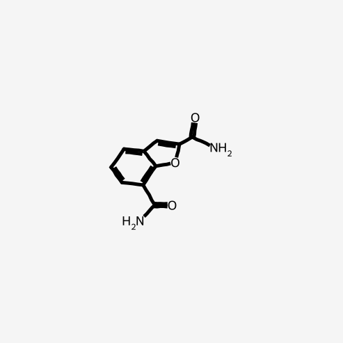 NC(=O)c1cc2cccc(C(N)=O)c2o1